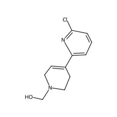 OCN1CC=C(c2cccc(Cl)n2)CC1